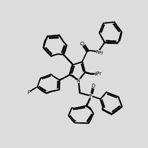 CC(C)c1c(C(=O)Nc2ccccc2)c(-c2ccccc2)c(-c2ccc(F)cc2)n1CP(=O)(c1ccccc1)c1ccccc1